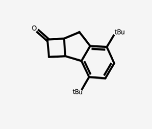 CC(C)(C)c1ccc(C(C)(C)C)c2c1CC1C(=O)CC21